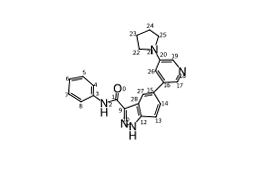 O=C(Nc1ccccc1)c1n[nH]c2ccc(-c3cncc(N4CCCC4)c3)cc12